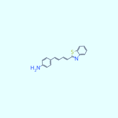 Nc1ccc(/C=C/C=C/c2nc3ccccc3s2)cc1